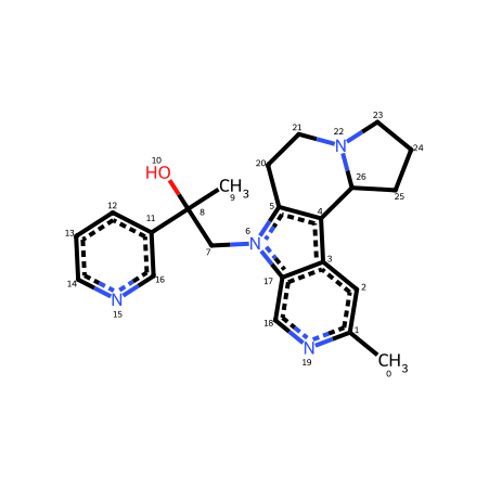 Cc1cc2c3c(n(CC(C)(O)c4cccnc4)c2cn1)CCN1CCCC31